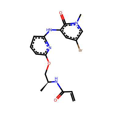 C=CC(=O)N[C@@H](C)COc1cccc(Nc2cc(Br)cn(C)c2=O)n1